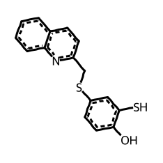 Oc1ccc(SCc2ccc3ccccc3n2)cc1S